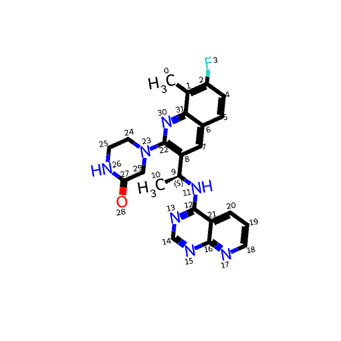 Cc1c(F)ccc2cc([C@H](C)Nc3ncnc4ncccc34)c(N3CCNC(=O)C3)nc12